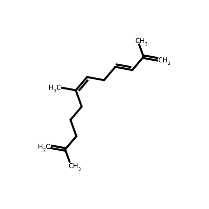 C=C(C)C=CCC=C(C)CCCC(=C)C